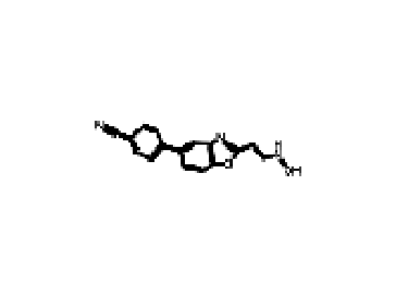 N#Cc1ccc(-c2ccc3oc(CCNO)nc3c2)cc1